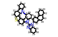 C1=c2c3c(n4c5ccccc5c5ccc6sc7ccc(c3c7c6c54)n2-c2nc3ccccc3n2-c2ccc3c(ccc4ccccc43)c2)CC1